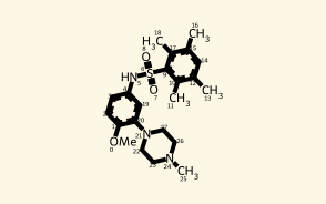 COc1ccc(NS(=O)(=O)c2c(C)c(C)cc(C)c2C)cc1N1CCN(C)CC1